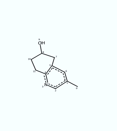 Cc1cnc2c(c1)CC(O)CC2